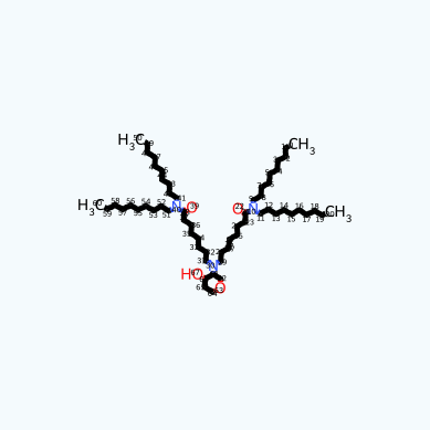 CCCCCCCCCCN(CCCCCCCCCC)C(=O)CCCCCCCN(CCCCCCCC(=O)N(CCCCCCCCCC)CCCCCCCCCC)C1COCCC1O